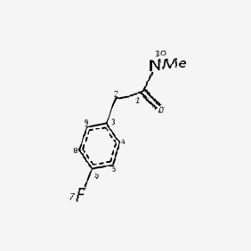 C=C(Cc1ccc(F)cc1)NC